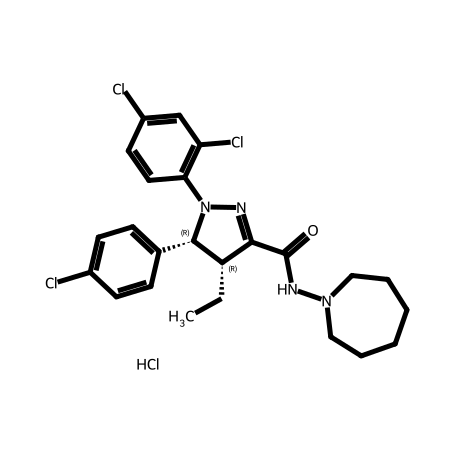 CC[C@H]1C(C(=O)NN2CCCCCC2)=NN(c2ccc(Cl)cc2Cl)[C@H]1c1ccc(Cl)cc1.Cl